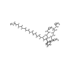 CCCCCCCCCCCCCCCCCCC(CCCCC)c1nccn1C(C)CCCCCCC